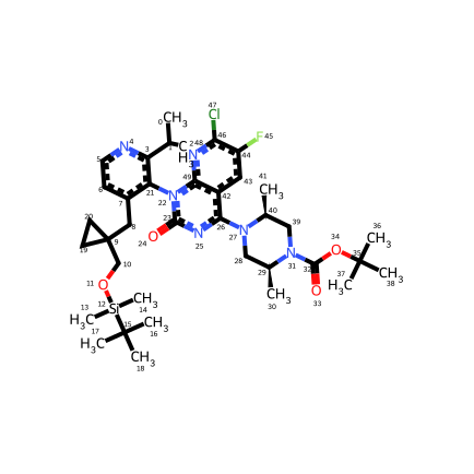 CC(C)c1nccc(CC2(CO[Si](C)(C)C(C)(C)C)CC2)c1-n1c(=O)nc(N2C[C@H](C)N(C(=O)OC(C)(C)C)C[C@@H]2C)c2cc(F)c(Cl)nc21